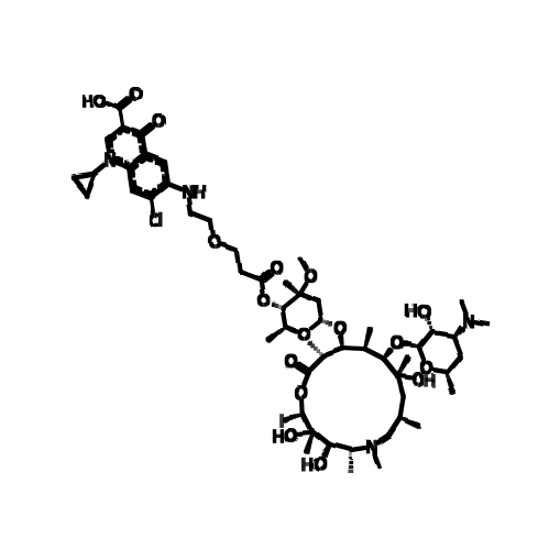 CO[C@]1(C)C[C@H](O[C@H]2[C@@H](C)[C@@H](O[C@@H]3O[C@H](C)C[C@H](N(C)C)[C@H]3O)[C@](C)(O)C[C@@H](C)CN(C)[C@H](C)[C@@H](O)[C@](C)(O)[C@@H](I)OC(=O)[C@@H]2C)O[C@@H](C)[C@@H]1OC(=O)CCOCCNc1cc2c(=O)c(C(=O)O)cn(C3CC3)c2cc1Cl